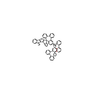 c1ccc(-c2ccccc2N(c2ccc3c(c2)-c2ccccc2-c2ccccc2O3)c2ccc3c(c2)-c2ccccc2-c2ccccc2C32c3ccccc3-c3c2ccc2c3sc3ccccc32)cc1